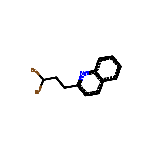 BrC(Br)CCc1ccc2ccccc2n1